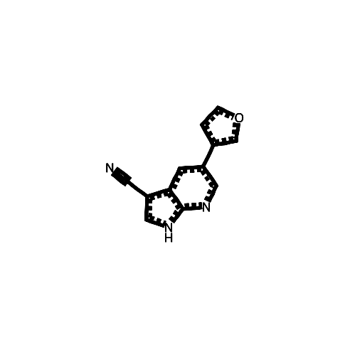 N#Cc1c[nH]c2ncc(-c3ccoc3)cc12